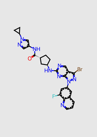 O=C(Nc1cnn(C2CC2)c1)[C@@H]1CC[C@@H](Nc2ncc3c(Br)nn(-c4cc(F)c5ncccc5c4)c3n2)C1